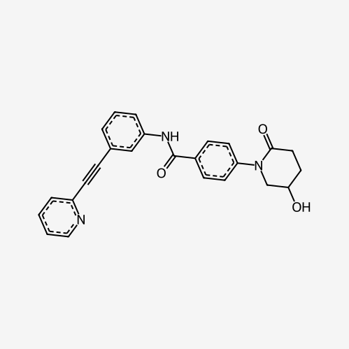 O=C(Nc1cccc(C#Cc2ccccn2)c1)c1ccc(N2CC(O)CCC2=O)cc1